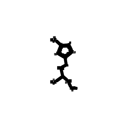 CNNC(C)NCc1noc(C)n1